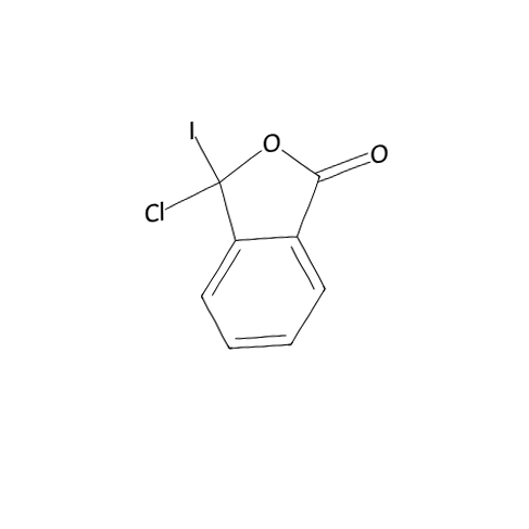 O=C1OC(Cl)(I)c2ccccc21